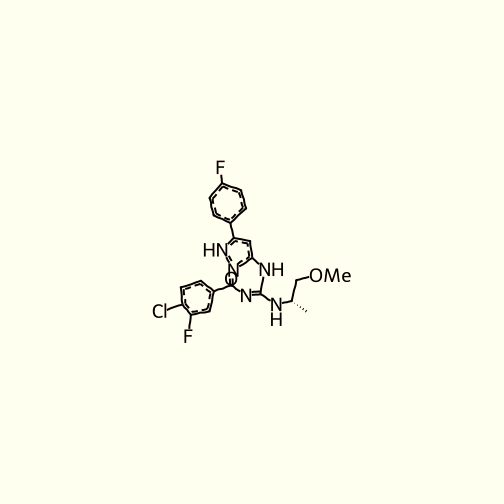 COC[C@H](C)N/C(=N/C(=O)c1ccc(Cl)c(F)c1)Nc1cc(-c2ccc(F)cc2)[nH]n1